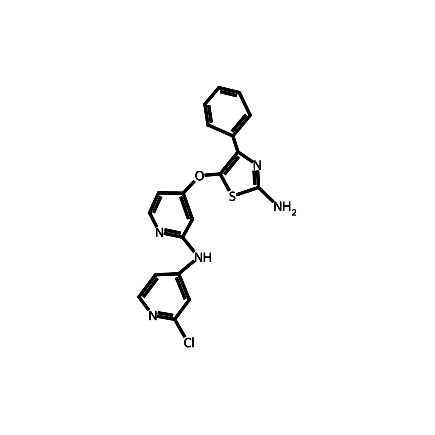 Nc1nc(-c2ccccc2)c(Oc2ccnc(Nc3ccnc(Cl)c3)c2)s1